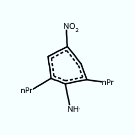 CCCc1cc([N+](=O)[O-])cc(CCC)c1[NH]